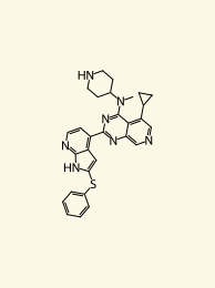 CN(c1nc(-c2ccnc3[nH]c(Sc4ccccc4)cc23)nc2cncc(C3CC3)c12)C1CCNCC1